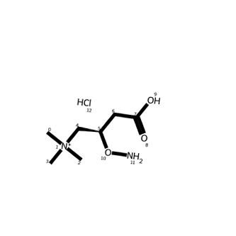 C[N+](C)(C)C[C@@H](CC(=O)O)ON.Cl